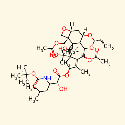 C=C[C@H]1O[C@H]2C[C@H]3OC[C@@]3(COC(C)=O)[C@H]3[C@H](O)[C@]4(C(C)(C)O)C[C@H](OC(=O)[C@H](O)C(CC(C)C)NC(=O)OC(C)(C)C)C(C)=C4[C@H](OC(C)=O)[C@H](O1)[C@]23C